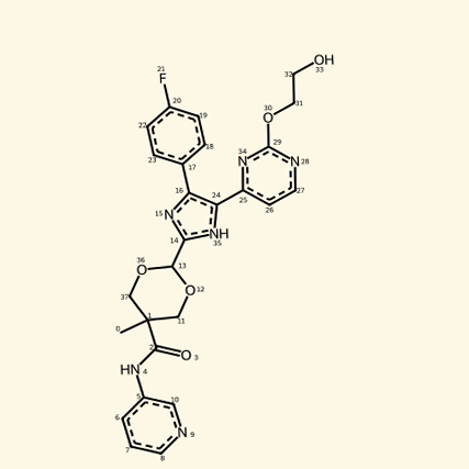 CC1(C(=O)Nc2cccnc2)COC(c2nc(-c3ccc(F)cc3)c(-c3ccnc(OCCO)n3)[nH]2)OC1